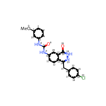 COc1cccc(NC(=O)Nc2ccc3c(Cc4ccc(Cl)cc4)n[nH]c(=O)c3c2)c1